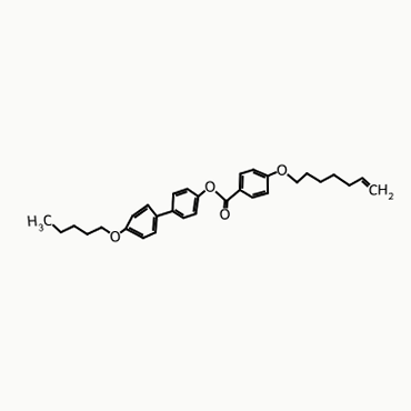 C=CCCCCCOc1ccc(C(=O)Oc2ccc(-c3ccc(OCCCCC)cc3)cc2)cc1